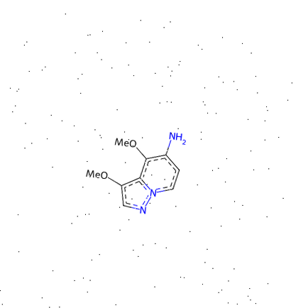 COc1cnn2ccc(N)c(OC)c12